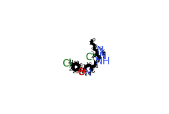 CCCCc1ncnc(NCCc2ccc(Oc3ccc(Cl)cc3)nc2)c1Cl